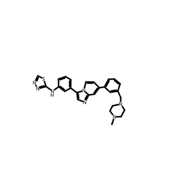 CN1CCN(Cc2cccc(-c3ccn4c(-c5cccc(Nc6nncs6)c5)cnc4c3)c2)CC1